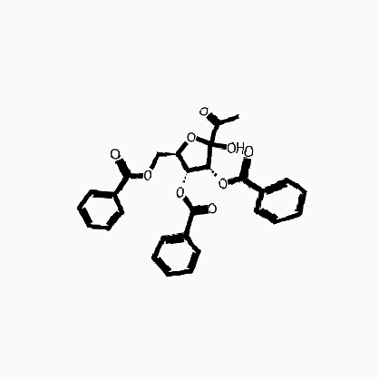 CC(=O)C1(O)O[C@H](COC(=O)c2ccccc2)[C@@H](OC(=O)c2ccccc2)[C@H]1OC(=O)c1ccccc1